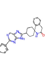 O=C1Cc2ccccc2C2(CCC(c3nc4cnc(-c5ccccc5)nc4[nH]3)CC2)N1